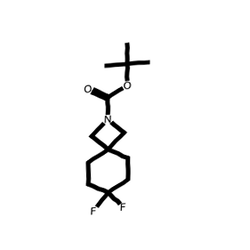 CC(C)(C)OC(=O)N1CC2(CCC(F)(F)CC2)C1